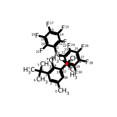 Cc1cc(C(C)(C)C)c([O][Al]([c]2c(F)c(F)c(F)c(F)c2F)[c]2c(F)c(F)c(F)c(F)c2F)c(C(C)(C)C)c1